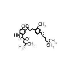 CCc1cc(OCCCN(C)C)ccc1CCC(=O)c1cc2c(C(=O)CC(C)C)n[nH]c2cc1C